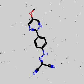 COc1cnc(-c2ccc(NN=C(C#N)C#N)cc2)nc1